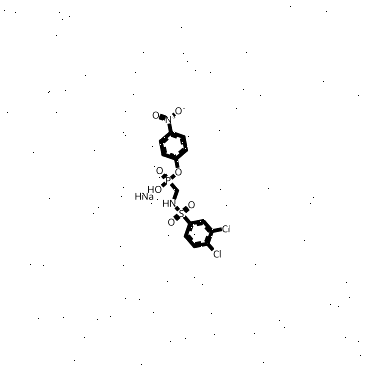 O=[N+]([O-])c1ccc(OP(=O)(O)CNS(=O)(=O)c2ccc(Cl)c(Cl)c2)cc1.[NaH]